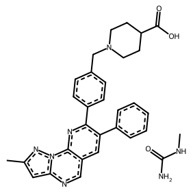 CNC(N)=O.Cc1cc2ncc3cc(-c4ccccc4)c(-c4ccc(CN5CCC(C(=O)O)CC5)cc4)nc3n2n1